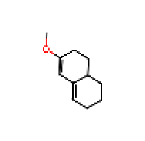 COC1=CC2=CCCCC2CC1